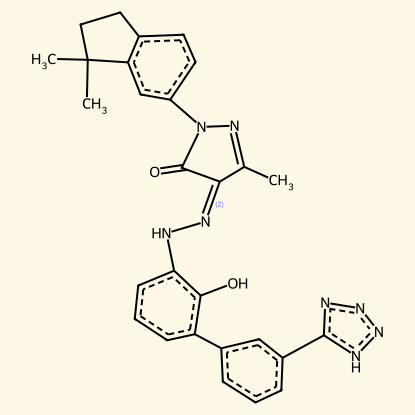 CC1=NN(c2ccc3c(c2)C(C)(C)CC3)C(=O)/C1=N\Nc1cccc(-c2cccc(-c3nnn[nH]3)c2)c1O